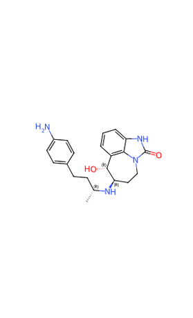 C[C@H](CCc1ccc(N)cc1)N[C@@H]1CCn2c(=O)[nH]c3cccc(c32)[C@H]1O